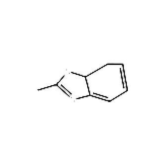 CC1=NC2=CC=CCC2N1